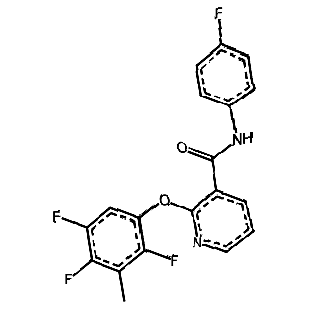 Cc1c(F)c(F)cc(Oc2ncccc2C(=O)Nc2ccc(F)cc2)c1F